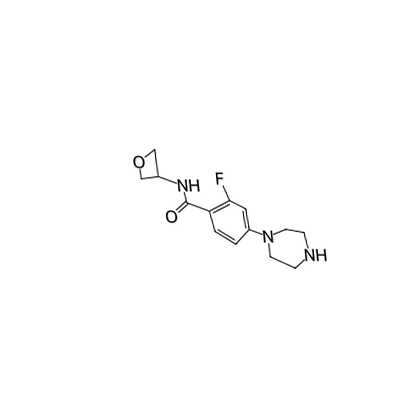 O=C(NC1COC1)c1ccc(N2CCNCC2)cc1F